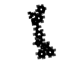 CN(C)Cc1c(-c2ccccc2)ccc2c(CCC3CCN(CC4(CO[Si](c5ccccc5)(c5ccccc5)C(C)(C)C)CCC4)CC3)noc12